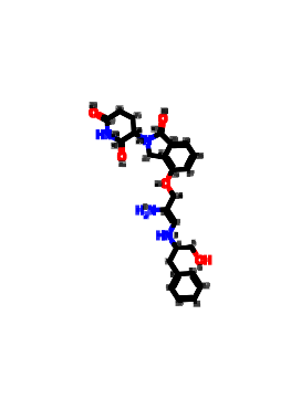 N/C(=C\N[C@@H](CO)Cc1ccccc1)COc1cccc2c1CN(C1CCC(=O)NC1=O)C2=O